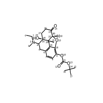 CCN(C)C1Cc2ccc(OC(=O)OC(C)(C)C)c3c2[C@@]2(C)[C@@H](O3)C(=O)CC[C@@]12O